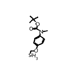 CN(C(=O)OC(C)(C)C)c1ccc(OC[SiH3])cc1